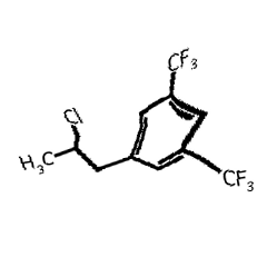 CC(Cl)Cc1cc(C(F)(F)F)cc(C(F)(F)F)c1